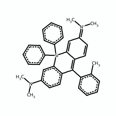 Cc1ccccc1C1=C2C=CC(=[N+](C)C)C=C2[Si](c2ccccc2)(c2ccccc2)c2cc(N(C)C)ccc21